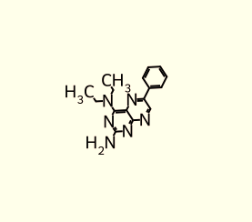 CCN(CC)c1nc(N)nc2ncc(-c3ccccc3)nc12